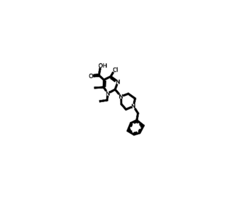 CCN1C(C)=C(C(=O)O)C(Cl)=NC1N1CCN(Cc2ccccc2)CC1